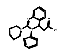 O=C(O)CC1c2ccccc2N=C(N2CCCCC2)N1c1ccccc1